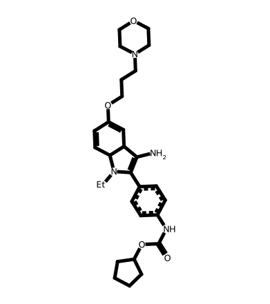 CCN1C(c2ccc(NC(=O)OC3CCCC3)cc2)=C(N)C2C=C(OCCCN3CCOCC3)C=CC21